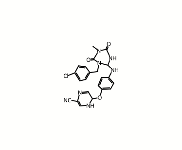 CN1C(=O)NC(Nc2ccc(OC3C=NC(C#N)=CN3)cc2)N(Cc2ccc(Cl)cc2)C1=O